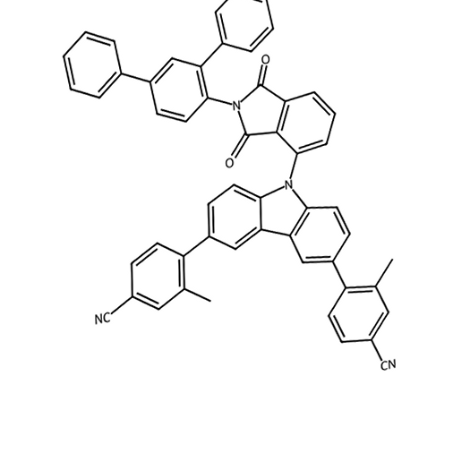 Cc1cc(C#N)ccc1-c1ccc2c(c1)c1cc(-c3ccc(C#N)cc3C)ccc1n2-c1cccc2c1C(=O)N(c1ccc(-c3ccccc3)cc1-c1ccccc1)C2=O